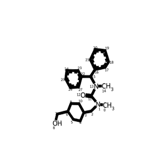 CN(CC1CCC(CO)CC1)C(=O)N(C)C(c1ccccc1)c1ccccc1